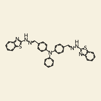 C(=N\Nc1nc2ccccc2s1)/c1ccc(N(c2ccccc2)c2ccc(/C=N/Nc3nc4ccccc4s3)cc2)cc1